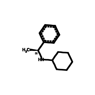 C[C@H](NC1CCCCC1)c1ccccc1